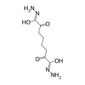 NN=C(O)C(=O)CCCCC(=O)C(O)=NN